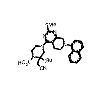 CSc1nc2c(c(N3CCN(C(=O)O)C(CC#N)(C(C)(C)C)C3)n1)CCN(c1cccc3ccccc13)C2